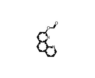 O=COc1ccc2ccc3cccnc3c2n1